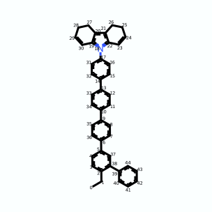 CCc1ccc(-c2ccc(-c3ccc(-c4ccc(-n5c6c(c7c5C=CCC7)CCC=C6)cc4)cc3)cc2)cc1-c1ccccc1